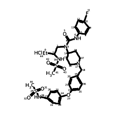 CCC(CN(C(=O)Nc1ccc(F)cc1)C1CCN(Cc2ccc(Oc3ccc(NS(C)(=O)=O)cc3)cc2)CC1)NS(C)(=O)=O.Cl